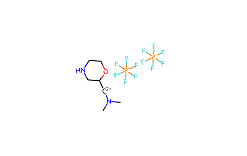 CN(C)[C+2]C1CNCCO1.F[P-](F)(F)(F)(F)F.F[P-](F)(F)(F)(F)F